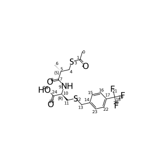 CC(=O)SC[C@@H](C)C(=O)N[C@@H](CSCc1ccc(C(F)(F)F)cc1)C(=O)O